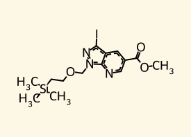 COC(=O)c1cnc2c(c1)c(I)nn2COCC[Si](C)(C)C